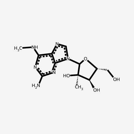 CNc1nc(N)nc2c1ncn2C1O[C@H](CO)[C@@H](O)[C@@]1(C)O